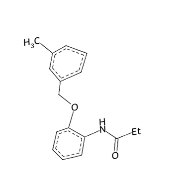 CCC(=O)Nc1ccccc1OCc1cccc(C)c1